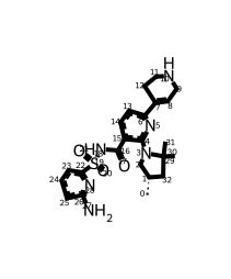 C[C@@H]1CN(c2nc(C3=CCNCC3)ccc2C(=O)NS(=O)(=O)c2cccc(N)n2)C(C)(C)C1